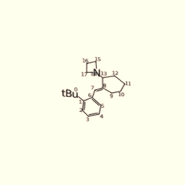 CC(C)(C)c1ccccc1C=C1CCCCC1N1CCC1